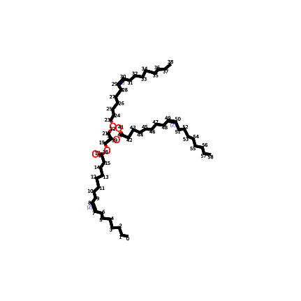 CCCCCCC/C=C\CCCCCCCC(=O)OCC(COCCCCCC/C=C\CCCCCCCC)OC(=O)CCCCCCC/C=C\CCCCCCCC